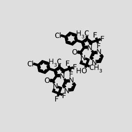 Cc1c(-c2ccc(Cl)cc2)c(C(=O)N2CC(C)(O)C2)n(-c2cnccn2)c1C(F)(F)F.Cc1c(-c2ccc(Cl)cc2)c(C(=O)N2CC(F)(F)C2)n(-c2cnccn2)c1C(F)(F)F